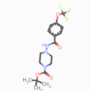 CC(C)(C)OC(=O)N1CCN(NC(=O)c2ccc(OC(F)(F)F)cc2)CC1